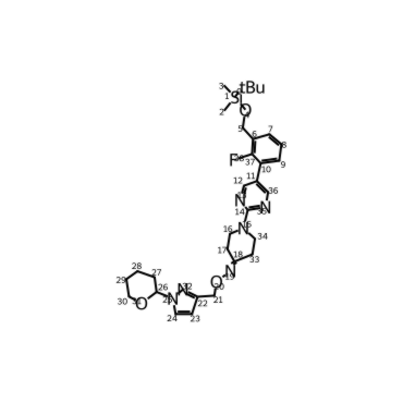 CC(C)(C)[Si](C)(C)OCc1cccc(-c2cnc(N3CCC(=NOCc4ccn(C5CCCCO5)n4)CC3)nc2)c1F